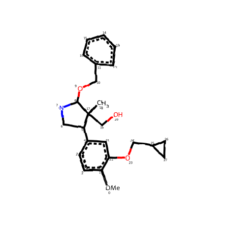 COc1ccc(C2C[N]C(OCc3ccccc3)C2(C)CO)cc1OCC1CC1